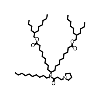 CCCCCCCCCCN(C(=O)CCN1CCCC1)C(CCCCCCCCC(=O)OCC(CCCC)CCCCCC)CCCCCCCCC(=O)OCC(CCCC)CCCCCC